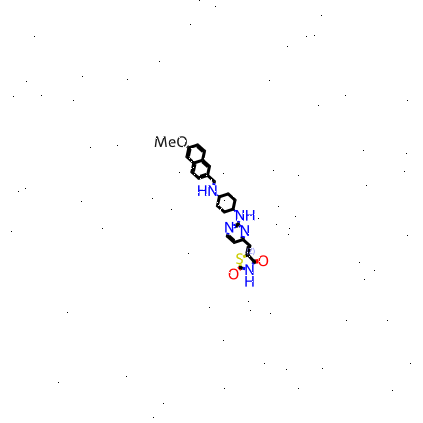 COc1ccc2cc(CN[C@H]3CC[C@H](Nc4nccc(/C=C5\SC(=O)NC5=O)n4)CC3)ccc2c1